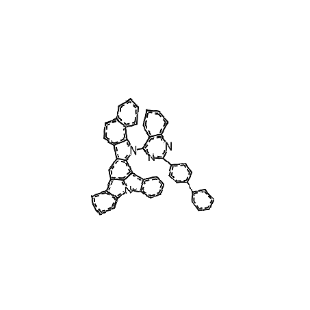 c1ccc(-c2ccc(-c3nc(-n4c5c6ccccc6ccc5c5cc6c7ccccc7n7c8ccccc8c(c54)c67)c4ccccc4n3)cc2)cc1